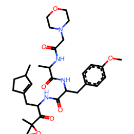 COc1ccc(CC(NC(=O)C(C)NC(=O)CN2CCOCC2)C(=O)NC(CC2=CC(C)CC2)C(=O)C2(C)CO2)cc1